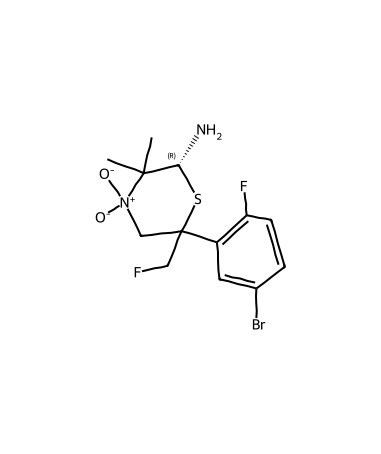 CC1(C)[C@H](N)SC(CF)(c2cc(Br)ccc2F)C[N+]1([O-])[O-]